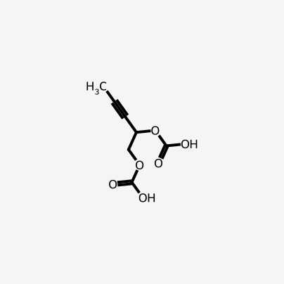 CC#CC(COC(=O)O)OC(=O)O